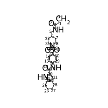 C=CC(=O)NCC1CCN(S(=O)(=O)c2ccc(NC(=O)c3cc4c([nH]3)CCCC4)cc2)CC1